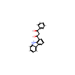 O=C(CC(=O)c1cccc2c1[nH]c1ccccc12)c1ccccc1